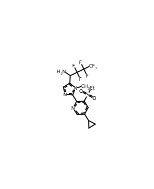 CCS(=O)(=O)c1cc(C2CC2)cnc1-c1ncc(C(N)C(F)(F)C(F)(F)C(F)(F)F)n1C